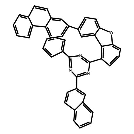 c1ccc(-c2nc(-c3ccc4ccccc4c3)nc(-c3cccc4oc5ccc(-c6ccc7c(ccc8ccccc87)c6)cc5c34)n2)cc1